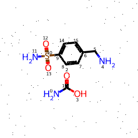 NC(=O)O.NCc1ccc(S(N)(=O)=O)cc1